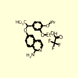 CCOc1cc(C(Oc2ccc3c(N)nccc3c2)C(=O)O)ccc1OC(C)C.O=C(O)C(F)(F)F